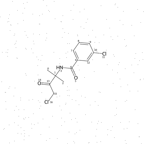 CC(C)(NC(=O)c1cccc(Cl)c1)C(=O)CCl